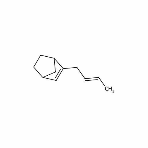 C/C=C/CC1=CC2CCC1C2